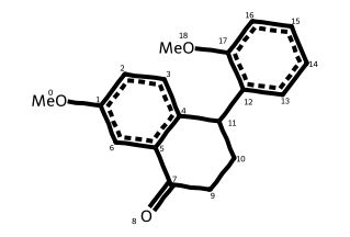 COc1ccc2c(c1)C(=O)CCC2c1ccccc1OC